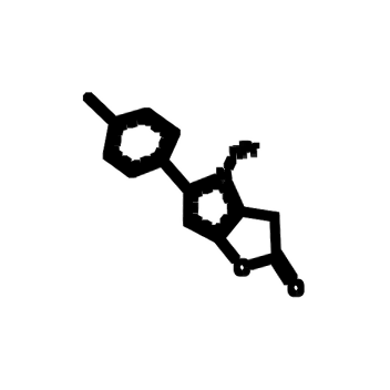 CCCn1c(-c2ccc(C)cc2)cc2c1CC(=O)O2